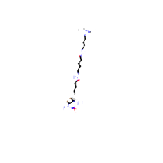 CC(C)(C)N(CCCCCNC(=O)CCCCCNC(=O)CCCC[C@@H]1SC[C@@H]2NC(=O)N[C@@H]21)C(=O)O